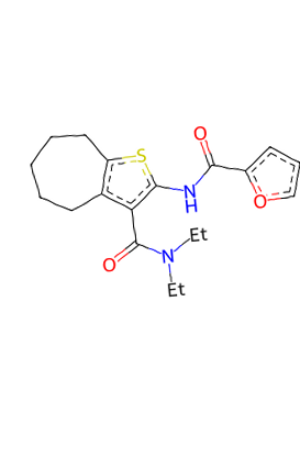 CCN(CC)C(=O)c1c(NC(=O)c2ccco2)sc2c1CCCCC2